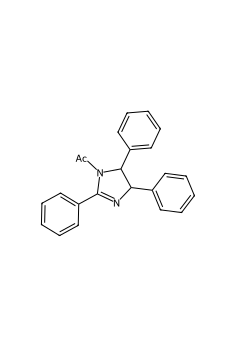 CC(=O)N1C(c2ccccc2)=NC(c2ccccc2)C1c1ccccc1